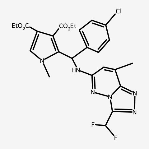 CCOC(=O)c1cn(C)c(C(Nc2cc(C)c3nnc(C(F)F)n3n2)c2ccc(Cl)cc2)c1C(=O)OCC